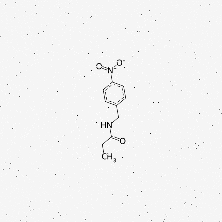 CCC(=O)NCc1ccc([N+](=O)[O-])cc1